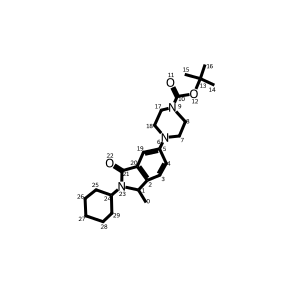 CC1c2ccc(N3CCN(C(=O)OC(C)(C)C)CC3)cc2C(=O)N1C1CCCCC1